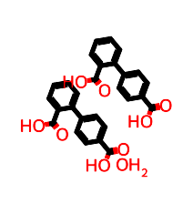 O.O=C(O)c1ccc(-c2ccccc2C(=O)O)cc1.O=C(O)c1ccc(-c2ccccc2C(=O)O)cc1